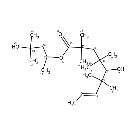 CC=CC(C)(C)C(O)C(C)(C)CC(C)(C)C(=O)OC(C)CC(C)(C)O